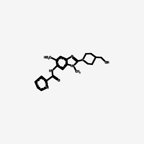 C[SH]1C(N2CCC(CO)CC2)=Nc2cc(C(=O)O)c(NC(=O)c3ccccn3)cc21